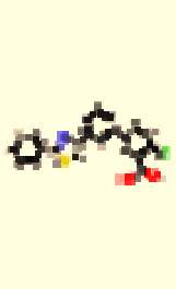 O=C(O)c1cc(-c2cccc(-c3csc(-c4ccccc4)n3)c2)ccc1Cl